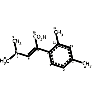 Cc1ccc(/C(=C/N(C)C)C(=O)O)c(C)c1